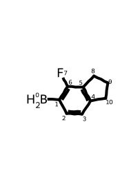 Bc1ccc2c(c1F)CCC2